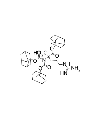 N=C(N)NCCC[C@](C(=O)O)(C(=O)OC12CC3CC(CC(C3)C1)C2)N(C(=O)OC12CC3CC(CC(C3)C1)C2)C(=O)OC12CC3CC(CC(C3)C1)C2